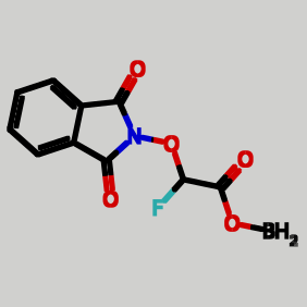 BOC(=O)C(F)ON1C(=O)c2ccccc2C1=O